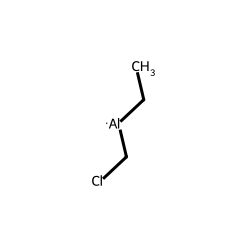 C[CH2][Al][CH2]Cl